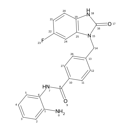 Nc1ccccc1NC(=O)c1ccc(Cn2c(=O)[nH]c3ccc(F)cc32)cc1